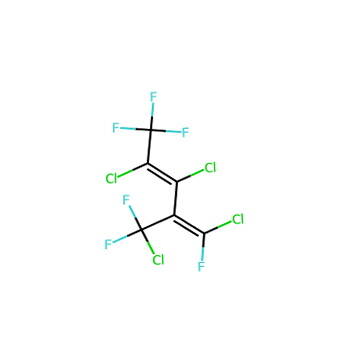 FC(Cl)=C(C(Cl)=C(Cl)C(F)(F)F)C(F)(F)Cl